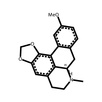 COc1ccc2c(c1)-c1c3c(cc4c1[C@@H](C2)N(C)CC4)OCO3